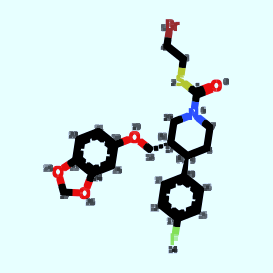 O=C(SCCBr)N1CC[C@@H](c2ccc(F)cc2)[C@H](COc2ccc3c(c2)OCO3)C1